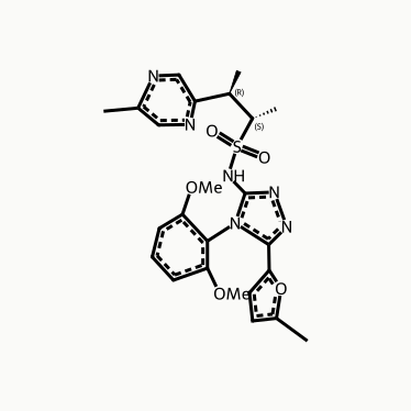 COc1cccc(OC)c1-n1c(NS(=O)(=O)[C@@H](C)[C@H](C)c2cnc(C)cn2)nnc1-c1ccc(C)o1